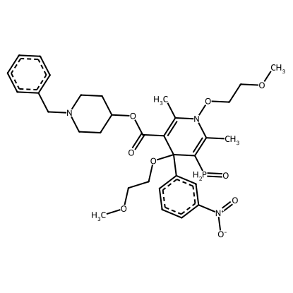 COCCON1C(C)=C([PH2]=O)C(OCCOC)(c2cccc([N+](=O)[O-])c2)C(C(=O)OC2CCN(Cc3ccccc3)CC2)=C1C